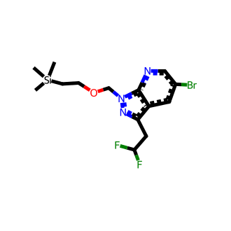 C[Si](C)(C)CCOCn1nc(CC(F)F)c2cc(Br)cnc21